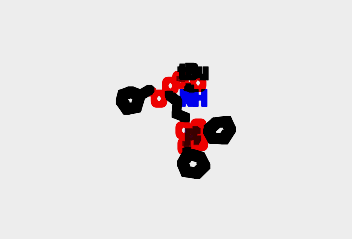 CC(C)(C)OC(=O)NC(CCOP(=O)(Oc1ccccc1)Oc1ccccc1)C(=O)OCc1ccccc1